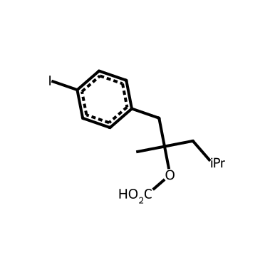 CC(C)CC(C)(Cc1ccc(I)cc1)OC(=O)O